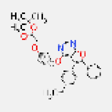 CCc1ccc(-c2c(-c3ccccc3)oc3ncnc(O[C@@H]4C=C[C@@H](OCC(=O)OC(C)(C)C)C4)c23)cc1